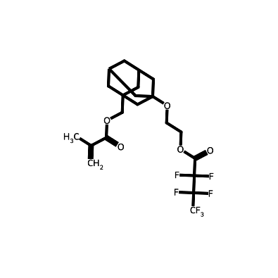 C=C(C)C(=O)OCC12CC3CC(C1)CC(OCCOC(=O)C(F)(F)C(F)(F)C(F)(F)F)(C3)C2